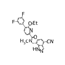 CCOc1nc(C(=O)N(C)Cc2ccc(C#N)c3cn[nH]c23)ccc1-c1cc(F)cc(F)c1